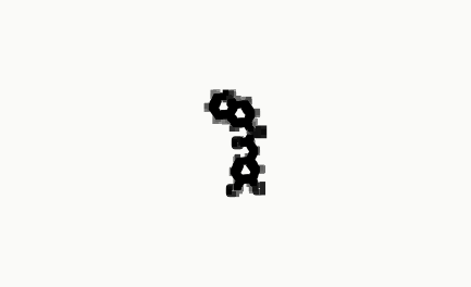 O=C(Cc1ccc(Cl)c(Cl)c1)Nc1ccc2ncccc2c1